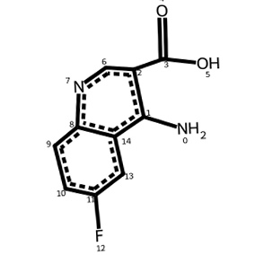 Nc1c(C(=O)O)cnc2ccc(F)cc12